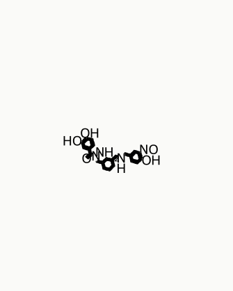 NN(CC1CCCC(CNCc2ccc(O)c(N=O)c2)C1)C(=O)c1ccc(O)c(O)c1